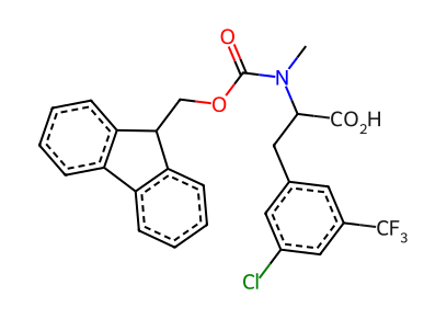 CN(C(=O)OCC1c2ccccc2-c2ccccc21)C(Cc1cc(Cl)cc(C(F)(F)F)c1)C(=O)O